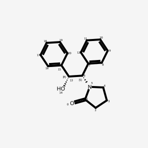 O=C1CCCN1[C@@H](c1ccccc1)[C@H](O)c1ccccc1